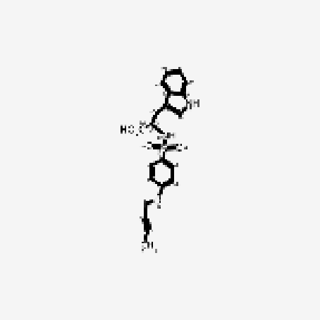 CC#CCOc1ccc(S(=O)(=O)N[C@H](Cc2c[nH]c3ccccc23)C(=O)O)cc1